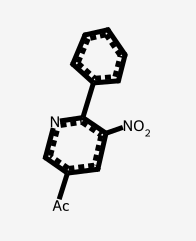 CC(=O)c1cnc(-c2ccccc2)c([N+](=O)[O-])c1